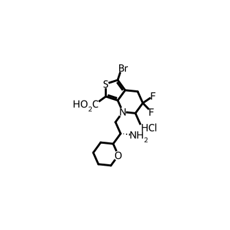 CC1N(C[C@H](N)C2CCCCO2)c2c(C(=O)O)sc(Br)c2CC1(F)F.Cl